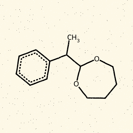 CC(c1ccccc1)C1OCCCCO1